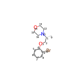 C[C@H](COc1ccccc1Br)N1CCOCC1